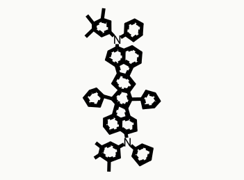 Cc1cc(N(c2ccccc2)c2ccc3c4cc5c(-c6ccccc6)c6c7cccc8c(N(c9ccccc9)c9cc(C)c(C)c(C)c9)ccc(c6c(-c6ccccc6)c5cc4c4cccc2c34)c87)cc(C)c1C